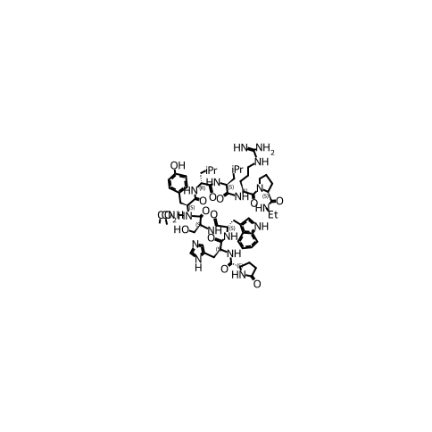 CC#N.CC(=O)O.CCNC(=O)[C@@H]1CCCN1C(=O)[C@H](CCCNC(=N)N)NC(=O)[C@H](CC(C)C)NC(=O)[C@@H](CC(C)C)NC(=O)[C@H](Cc1ccc(O)cc1)NC(=O)[C@H](CO)NC(=O)[C@H](Cc1c[nH]c2ccccc12)NC(=O)[C@H](Cc1cnc[nH]1)NC(=O)[C@@H]1CCC(=O)N1